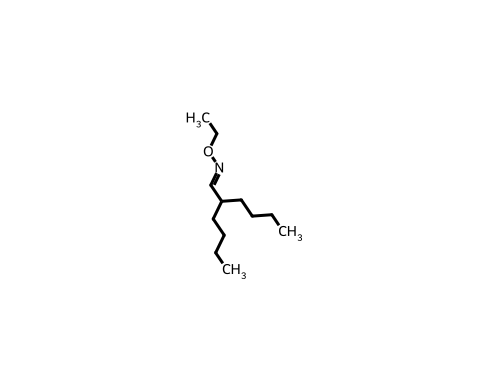 CCCCC(/C=N/OCC)CCCC